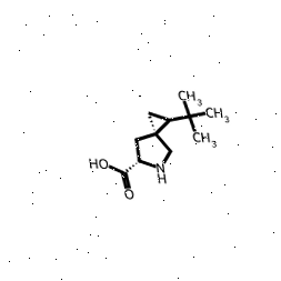 CC(C)(C)C1C[C@@]12CN[C@H](C(=O)O)C2